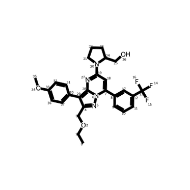 CCOCc1nn2c(-c3cccc(C(F)(F)F)c3)cc(N3CCCC3CO)nc2c1-c1ccc(OC)cc1